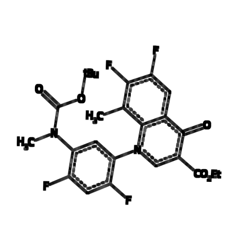 CCOC(=O)c1cn(-c2cc(N(C)C(=O)OC(C)(C)C)c(F)cc2F)c2c(C)c(F)c(F)cc2c1=O